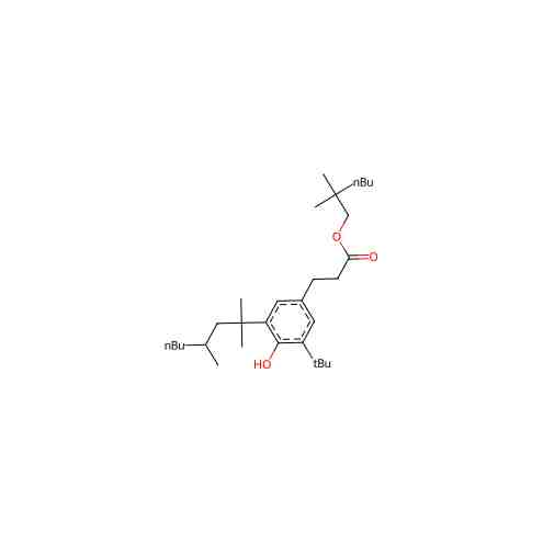 CCCCC(C)CC(C)(C)c1cc(CCC(=O)OCC(C)(C)CCCC)cc(C(C)(C)C)c1O